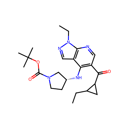 CCC1CC1C(=O)c1cnc2c(cnn2CC)c1N[C@@H]1CCN(C(=O)OC(C)(C)C)C1